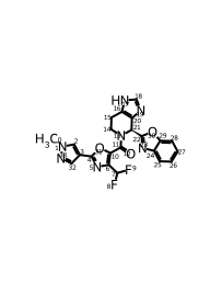 Cn1cc(-c2nc(C(F)F)c(C(=O)N3CCc4[nH]cnc4[C@H]3c3nc4ccccc4o3)o2)cn1